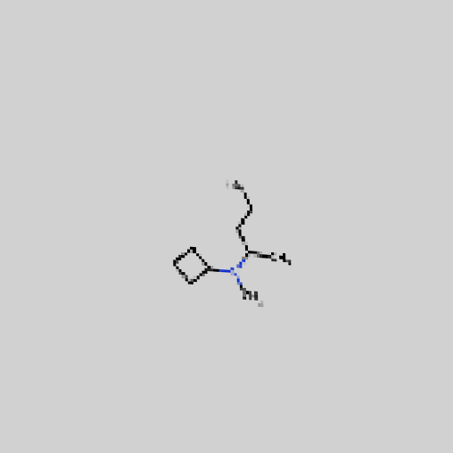 CC(CCC(C)(C)C)N(C)C1CCC1